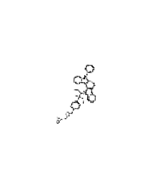 CCC(n1c2ccccc2c2ccc3c(c4ccccc4n3-c3ccccc3)c21)C(C)(CC)c1ccc(COCC2CO2)cc1